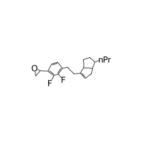 CCCC1CCC2C(CCc3ccc(C4CO4)c(F)c3F)=CCC12